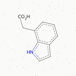 O=C(O)Cc1cccc2cc[nH]c12